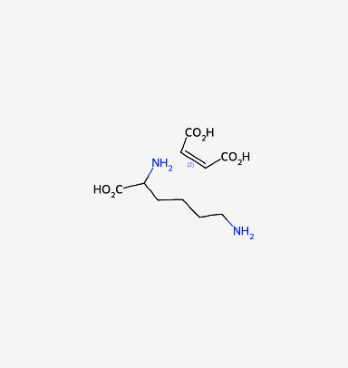 NCCCCC(N)C(=O)O.O=C(O)/C=C\C(=O)O